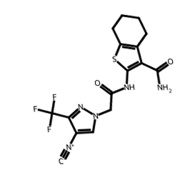 [C-]#[N+]c1cn(CC(=O)Nc2sc3c(c2C(N)=O)CCCC3)nc1C(F)(F)F